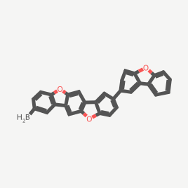 Bc1ccc2oc3cc4c(cc3c2c1)oc1ccc(-c2ccc3oc5ccccc5c3c2)cc14